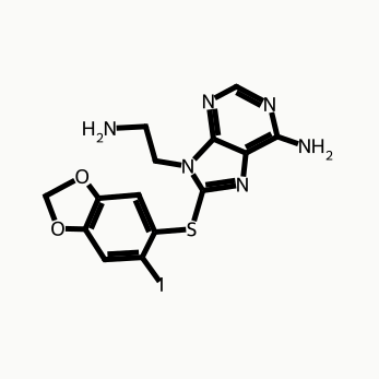 NCCn1c(Sc2cc3c(cc2I)OCO3)nc2c(N)ncnc21